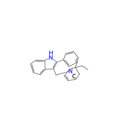 CCC1(C)CC2C=CC1N(Cc1c(-c3ccccc3)[nH]c3ccccc13)C2